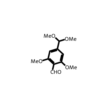 COc1cc(C(OC)OC)cc(OC)c1C=O